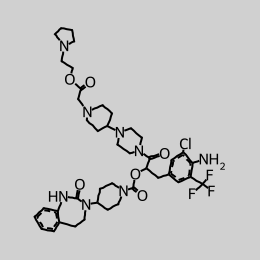 Nc1c(Cl)cc(CC(OC(=O)N2CCC(N3CCc4ccccc4NC3=O)CC2)C(=O)N2CCN(C3CCN(CC(=O)OCCN4CCCC4)CC3)CC2)cc1C(F)(F)F